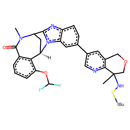 CN1C(=O)c2cccc(OC(F)F)c2[C@H]2CC1c1nc3ccc(-c4cnc5c(c4)COCC5(C)NSC(C)(C)C)cc3n12